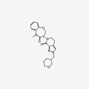 CN1C(=O)[C@@H](N2CCc3cn(CC4CCCOC4)nc3C2=O)COc2ccccc21